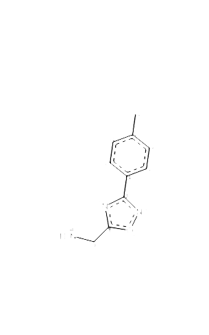 Cc1ccc(-c2noc(CN)n2)cc1